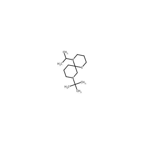 CC(C)N1CCCSC12CCCN(C(C)(C)C)C2